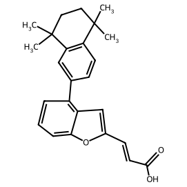 CC1(C)CCC(C)(C)c2cc(-c3cccc4oc(C=CC(=O)O)cc34)ccc21